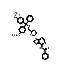 COc1ccc(C(OCC2CC[C@H](n3cnc4c(NC(=O)c5ccccc5)ncnc43)O2)(c2ccccc2)c2ccc(OC)cc2)cc1